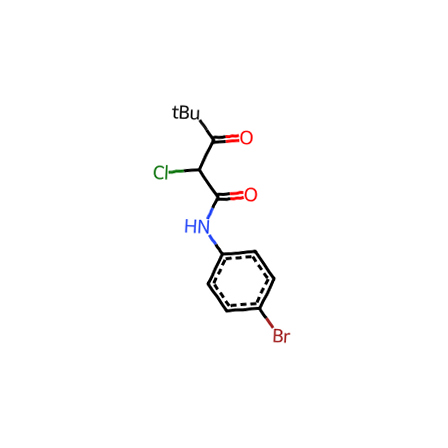 CC(C)(C)C(=O)C(Cl)C(=O)Nc1ccc(Br)cc1